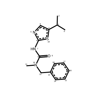 CC(C)c1cnc(NC(=O)N(C)Cc2ccccc2)s1